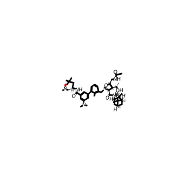 CC(=O)NC[C@@H]1ON(Cc2cccc(-c3cc(C(=O)N[C@H](CN(C)C)CC(C)(C)C)cc(N(C)C)c3)c2C)[C@H](C(=O)N[C@H]2C[C@H]3C[C@@H]([C@@H]2C)C3(C)C)[C@@H]1[C@H](C)O